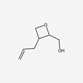 C=CCC1COC1CO